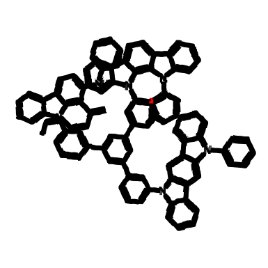 C=C(/C=C\C=C/C)c1c(Nc2ccccc2)ccc2c3ccccc3n(-c3cccc(-c4cc(-c5cccc(-n6c7ccccc7c7cc8c(cc76)c6ccccc6n8-c6ccccc6)c5)cc(-c5cccc(-n6c7ccccc7c7ccc8c9ccccc9n(-c9ccccc9)c8c76)c5)c4)c3)c12